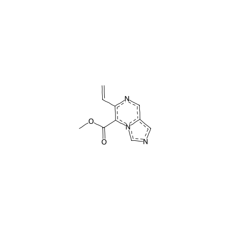 C=Cc1ncc2cncn2c1C(=O)OC